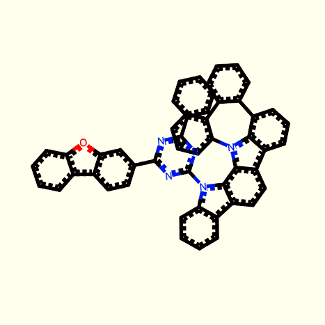 c1ccc(-c2nc(-c3ccc4c(c3)oc3ccccc34)nc(-n3c4ccccc4c4ccc5c6cccc7c6n(c5c43)-c3ccccc3-c3ccccc3-7)n2)cc1